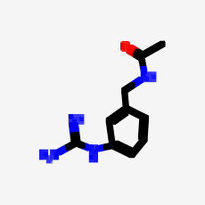 CC(=O)NCc1cccc(NC(=N)N)c1